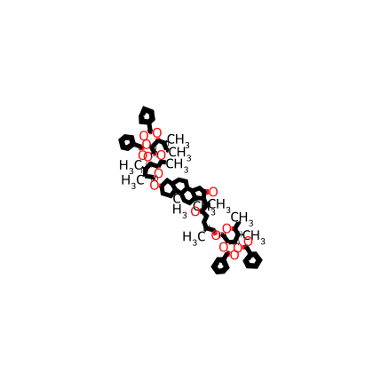 CCC1O[C@@H](OC2CCC3(C)C(CCC4C3CCC3(C)C4CC(=O)C3[C@H](C)C(=O)CC[C@H](C)CO[C@@H]3OC(CC)[C@H](C)[C@H](OC(=O)c4ccccc4)C3OC(=O)c3ccccc3)C2)C(C)[C@@H](C)[C@@H]1O[C@@H]1OC(C)[C@H](C)C(OC(=O)c2ccccc2)[C@@H]1OC(=O)c1ccccc1